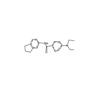 CCN(CC)c1ccc(C(=O)Nc2ccc3c(c2)CCC3)cc1